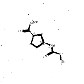 COC(=O)[C@@H]1CC[C@H](NC(=O)OC(C)(C)C)C1